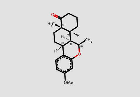 COc1ccc2c(c1)O[C@H](C)[C@H]1[C@@H]2CC[C@]2(C)C(=O)CCC[C@@H]12